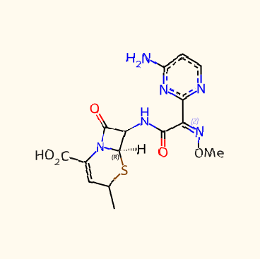 CO/N=C(\C(=O)NC1C(=O)N2C(C(=O)O)=CC(C)S[C@H]12)c1nccc(N)n1